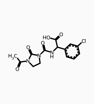 CC(=O)N1CCN(C(=O)NC(C(=O)O)c2cccc(Cl)c2)C1=O